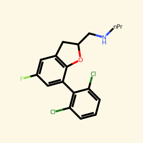 CCCNCC1Cc2cc(F)cc(-c3c(Cl)cccc3Cl)c2O1